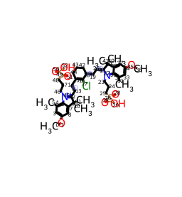 COc1cc(C)c2c(c1)C(C)(C)C(/C=C/C1=C(Cl)C(=C/C=C3\N(CCCS(=O)(=O)O)c4c(C)cc(OC)cc4C3(C)C)/CCC1)=[N+]2CCCS(=O)(=O)O